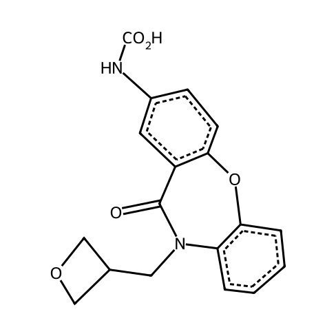 O=C(O)Nc1ccc2c(c1)C(=O)N(CC1COC1)c1ccccc1O2